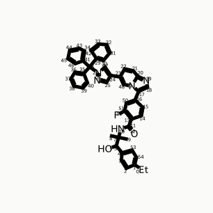 CCc1ccc(C(O)C(C)(C)NC(=O)c2ccc(-c3cnc4ccc(-c5cnn(C(c6ccccc6)(c6ccccc6)c6ccccc6)c5)cn34)cc2F)cc1